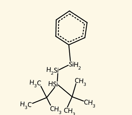 CC(C)(C)[SiH]([SiH2][SiH2]c1ccccc1)C(C)(C)C